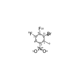 Cc1c([N+](=O)[O-])cc(F)c(F)c1Br